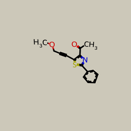 COCC#Cc1sc(-c2ccccc2)nc1C(C)=O